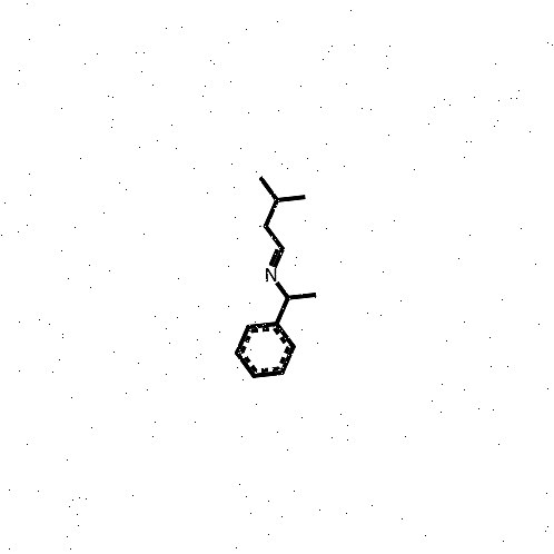 CC(C)[CH]C=NC(C)c1ccccc1